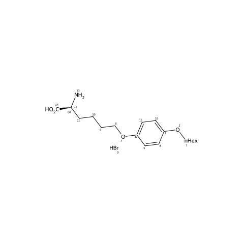 Br.CCCCCCOc1ccc(OCCCC[C@H](N)C(=O)O)cc1